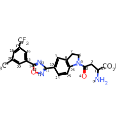 NC(CC(=O)N1CCc2cc(-c3noc(-c4cc(C(F)(F)F)cc(C(F)(F)F)c4)n3)ccc21)C(=O)O